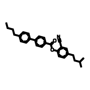 CCCCc1ccc(-c2ccc(C(=O)Oc3ccc(CCC(C)C)cc3C#N)cc2)cc1